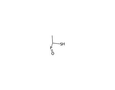 CC(S)P=O